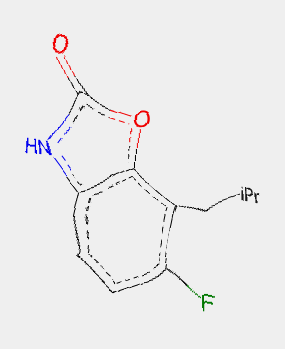 CC(C)c1c(F)ccc2[nH]c(=O)oc12